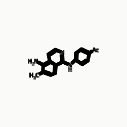 CC(=O)c1ccc(Nc2nccc3c(N)c(C)ccc23)cc1